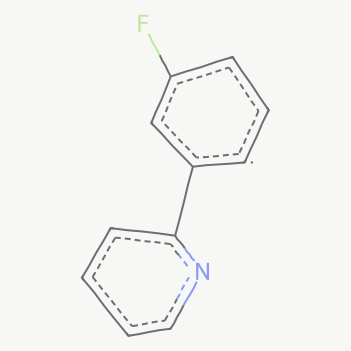 Fc1cc[c]c(-c2ccccn2)c1